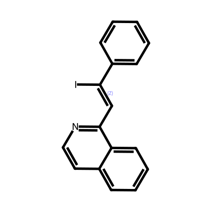 I/C(=C\c1nccc2ccccc12)c1ccccc1